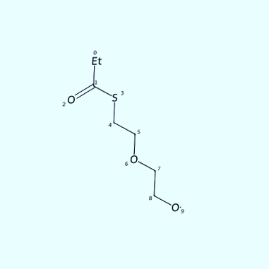 CCC(=O)SCCOCC[O]